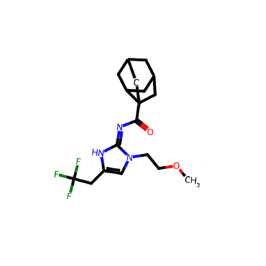 COCCn1cc(CC(F)(F)F)[nH]/c1=N/C(=O)C12CC3CC(CC1C3)C2